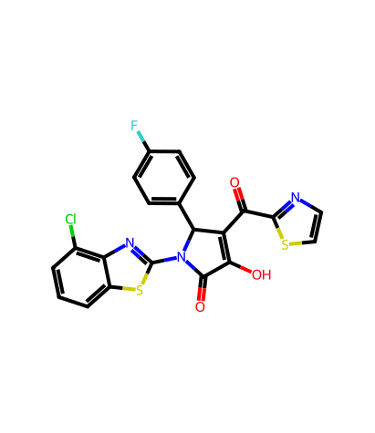 O=C(C1=C(O)C(=O)N(c2nc3c(Cl)cccc3s2)C1c1ccc(F)cc1)c1nccs1